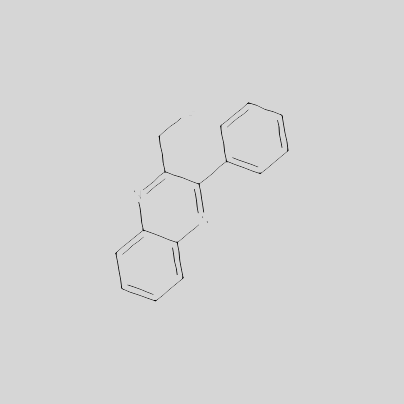 BrCc1nc2ccccc2nc1-c1ccccc1